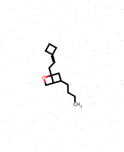 CCCCC1CC2(CC=C3CCC3)OCC12